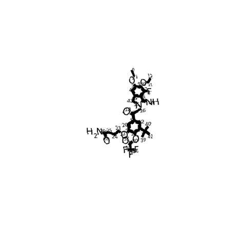 CCOc1cc2c(c(F)c1OCC)C(=N)N(CC(=O)c1cc(OCCCC(N)=O)c(OC(=O)C(F)(F)F)c(C(C)(C)C)c1)C2